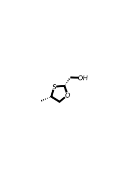 C[C@H]1CO[C@@H](CO)S1